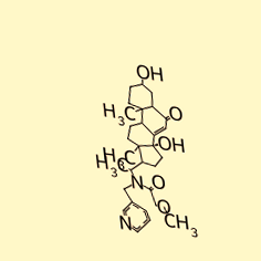 COCC(=O)N(Cc1cccnc1)C(C)C1CC[C@@]2(O)C3=CC(=O)C4CC(O)CCC4(C)C3CCC12C